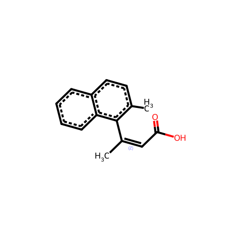 C/C(=C/C(=O)O)c1c(C)ccc2ccccc12